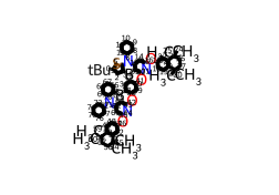 CC(C)(C)c1cc2c(s1)N(c1ccccc1)c1cc(Oc3ccc4c(c3)C(C)(C)CCC4(C)C)nc3c1B2c1cc2c(cc1O3)Oc1nc(Oc3ccc4c(c3)C(C)(C)CCC4(C)C)cc3c1B2c1ccccc1N3c1ccccc1